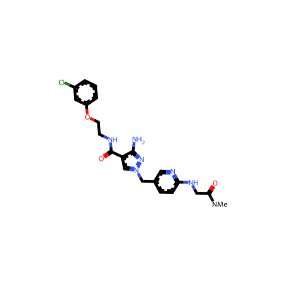 CNC(=O)CNc1ccc(Cn2cc(C(=O)NCCOc3cccc(Cl)c3)c(N)n2)cn1